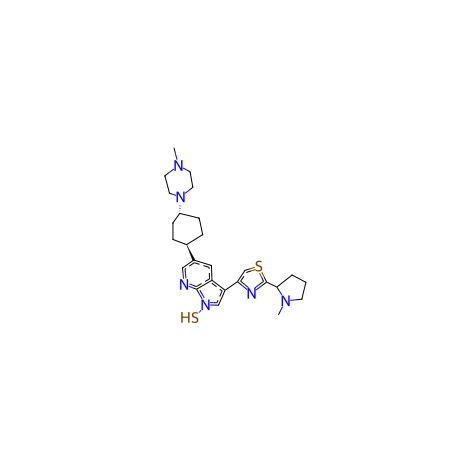 CN1CCN([C@H]2CC[C@H](c3cnc4c(c3)c(-c3csc(C5CCCN5C)n3)cn4S)CC2)CC1